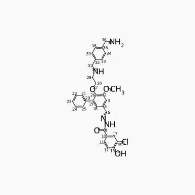 COc1cc(/C=N/NC(=O)c2ccc(O)c(Cl)c2)cc(-c2ccccc2)c1OCCNCc1ccc(CN)cc1